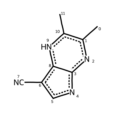 Cc1nc2ncc(C#N)c-2[nH]c1C